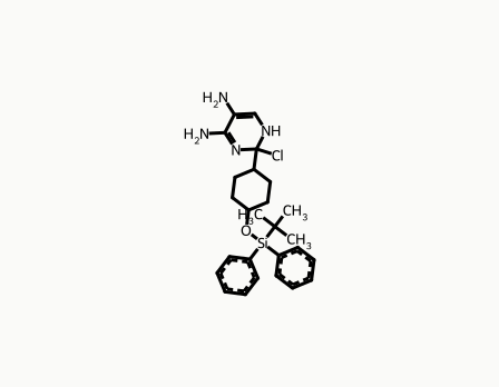 CC(C)(C)[Si](OC1CCC(C2(Cl)N=C(N)C(N)=CN2)CC1)(c1ccccc1)c1ccccc1